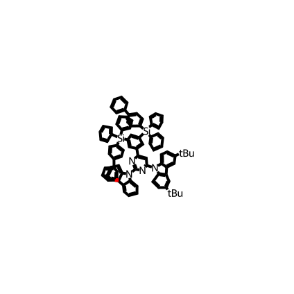 CC(C)(C)c1ccc2c(c1)c1cc(C(C)(C)C)ccc1n2-c1cc(-c2cc([Si](c3ccccc3)(c3ccccc3)c3ccc(-c4ccccc4)cc3)cc([Si](c3ccccc3)(c3ccccc3)c3ccc(-c4ccccc4)cc3)c2)nc(-n2c3ccccc3c3ccccc32)n1